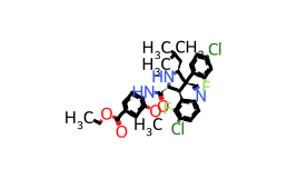 CCOC(=O)c1ccc(NC(=O)[C@@H]2N[C@@H](CC(C)(C)C)[C@](C#N)(c3ccc(Cl)cc3F)[C@H]2c2cccc(Cl)c2F)c(OC)c1